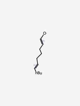 CCCC/C=C/CCC/C=C/[O]